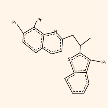 CC(C)c1ccc2ccc(CC(C)c3sc4ccccc4c3C(C)C)nc2c1C(C)C